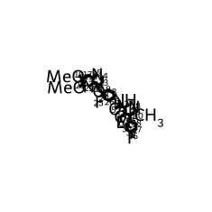 CCOc1c(C(=O)Nc2ccc(Oc3ccnc4cc(OC)c(OC)nc34)c(F)c2)cnc(C)c1-c1ccc(F)cc1